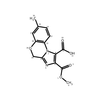 COC(=O)c1nc2n(c1C(=O)O)-c1ccc(C)cc1OC2